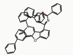 C=C/C=c1/oc2cccc(-c3nc(-c4ccccc4)nc(-c4ccccc4)n3)c2/c1=C/N(c1ccc(-c2ccccc2)cc1)c1ccccc1-c1ccccc1